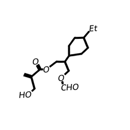 C=C(CO)C(=O)OCC(COC=O)C1CCC(CC)CC1